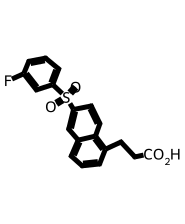 O=C(O)CCc1cccc2cc(S(=O)(=O)c3cccc(F)c3)ccc12